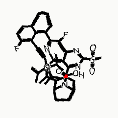 CC1Oc2nc(-c3cccc4ccc(F)c(C#C[Si](C(C)C)(C(C)C)C(C)C)c34)c(F)c3nc(S(C)(=O)=O)nc(c23)N2CC3CCC(C12)N3C(=O)O